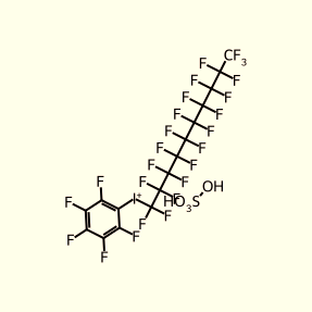 Fc1c(F)c(F)c([I+]C(F)(F)C(F)(F)C(F)(F)C(F)(F)C(F)(F)C(F)(F)C(F)(F)C(F)(F)C(F)(F)C(F)(F)F)c(F)c1F.O=S(=O)(O)O